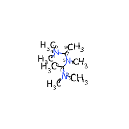 CC(N(C)C)N(C)C(C)N(C)C